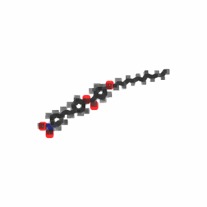 CCCCCCCCCCCCOc1ccc(C(=O)Oc2ccc(C=Cc3ccc([N+](=O)[O-])cc3)cc2)cc1